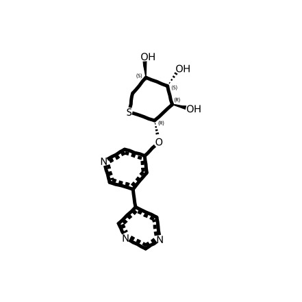 O[C@@H]1[C@@H](O)[C@H](Oc2cncc(-c3cncnc3)c2)SC[C@H]1O